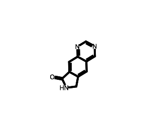 O=C1NCc2cc3cncnc3cc21